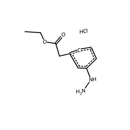 CCOC(=O)Cc1cccc(NN)c1.Cl